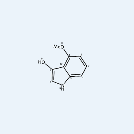 COc1cccc2[nH]cc(O)c12